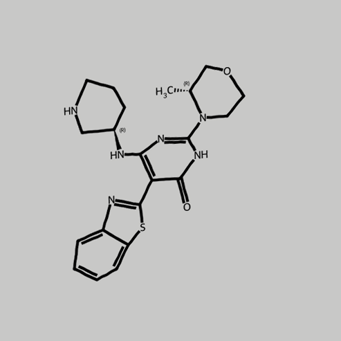 C[C@@H]1COCCN1c1nc(N[C@@H]2CCCNC2)c(-c2nc3ccccc3s2)c(=O)[nH]1